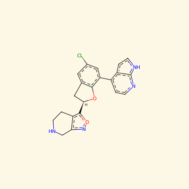 Clc1cc2c(c(-c3ccnc4[nH]ccc34)c1)O[C@@H](c1onc3c1CCNC3)C2